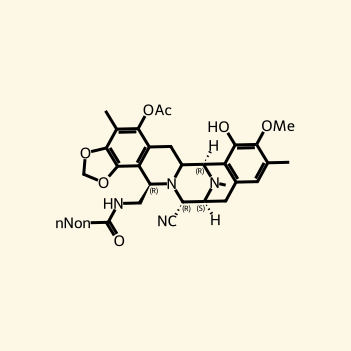 CCCCCCCCCC(=O)NC[C@H]1c2c(c(OC(C)=O)c(C)c3c2OCO3)CC2[C@H]3c4c(cc(C)c(OC)c4O)C[C@@H]([C@H](C#N)N21)N3C